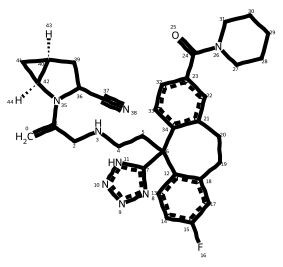 C=C(CNCCC1(c2nnn[nH]2)c2ccc(F)cc2CCc2cc(C(=O)N3CCCCC3)ccc21)N1C(C#N)C[C@@H]2C[C@@H]21